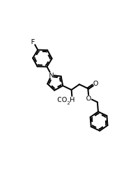 O=C(CC(C(=O)O)c1ccn(-c2ccc(F)cc2)c1)OCc1ccccc1